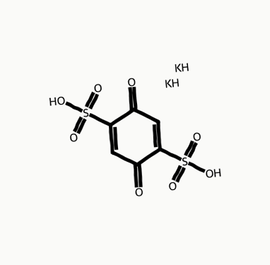 O=C1C=C(S(=O)(=O)O)C(=O)C=C1S(=O)(=O)O.[KH].[KH]